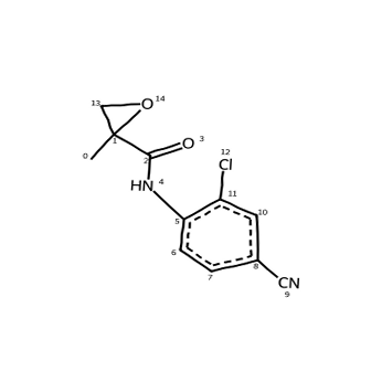 CC1(C(=O)Nc2ccc(C#N)cc2Cl)CO1